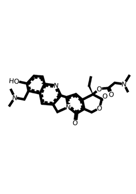 CC[C@@]1(OC(=O)CN(C)C)C(=O)OCc2c1cc1n(c2=O)Cc2cc3c(CN(C)C)c(O)ccc3nc2-1